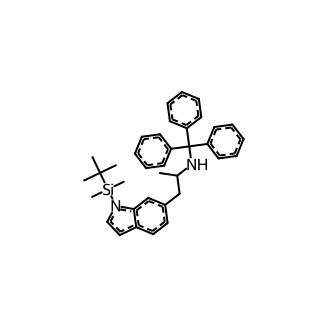 CC(Cc1ccc2ccn([Si](C)(C)C(C)(C)C)c2c1)NC(c1ccccc1)(c1ccccc1)c1ccccc1